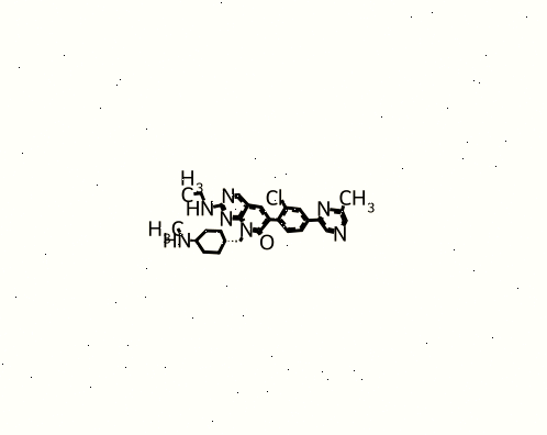 CCNc1ncc2cc(-c3ccc(-c4cncc(C)n4)cc3Cl)c(=O)n(C[C@H]3CC[C@H](NC)CC3)c2n1